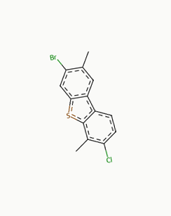 Cc1cc2c(cc1Br)sc1c(C)c(Cl)ccc12